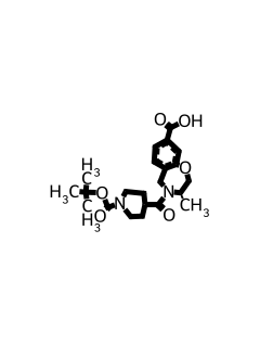 C[C@H]1COc2cc(C(=O)O)ccc2CN1C(=O)C1CCN(C(=O)OC(C)(C)C)CC1